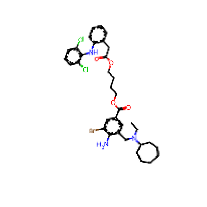 CCN(Cc1cc(C(=O)OCCCCOC(=O)Cc2ccccc2Nc2c(Cl)cccc2Cl)cc(Br)c1N)C1CCCCCC1